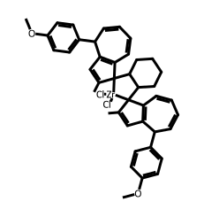 COc1ccc(C2C=CC=CC3=C2C=C(C)[C]32C3CCCCC3[C]3(C(C)=CC4=C3C=CC=CC4c3ccc(OC)cc3)[Zr]2([Cl])[Cl])cc1